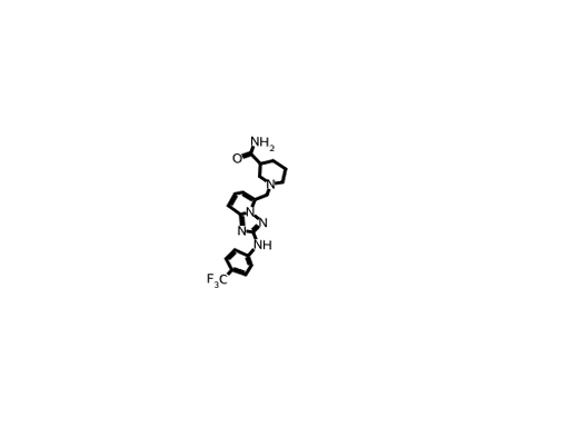 NC(=O)C1CCCN(Cc2cccc3nc(Nc4ccc(C(F)(F)F)cc4)nn23)C1